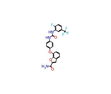 NC(=O)c1cc2cccc(Oc3ccc(NC(=O)Nc4cc(C(F)(F)F)ccc4F)cc3)c2o1